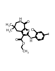 CCOC(=O)c1c(Nc2ccc(I)cc2Cl)sc2c1CC(C)(C)CNC2=O